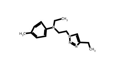 CCc1cn(CCN(CC)c2ccc(C)cc2)nn1